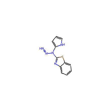 N=NN(c1ccc[nH]1)c1nc2ccccc2s1